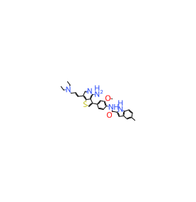 CCN(CC)C/C=C/c1cnc(N)c2c(-c3ccc(NC(=O)c4cc5cc(C)ccc5[nH]4)c(OC)c3)csc12